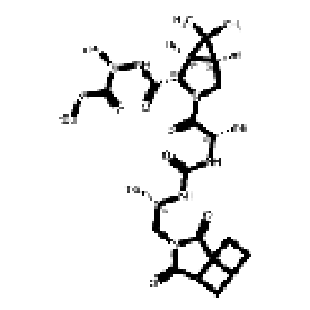 CCCN(NC(=O)[C@@H]1[C@@H]2[C@H](CN1C(=O)[C@@H](NC(=O)N[C@H](CN1C(=O)C3CC4CCC43C1=O)C(C)(C)C)C(C)(C)C)C2(C)C)C(=O)NC(C)(C)C